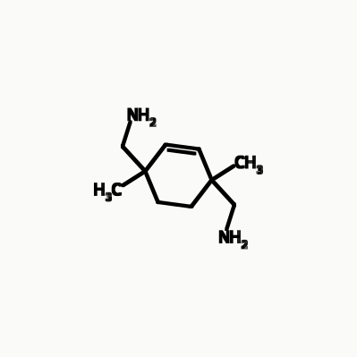 CC1(CN)C=CC(C)(CN)CC1